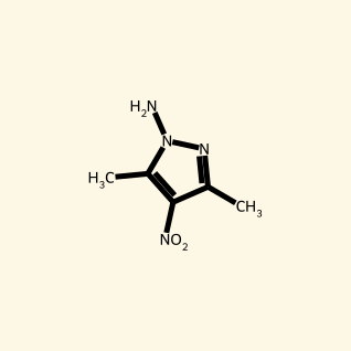 Cc1nn(N)c(C)c1[N+](=O)[O-]